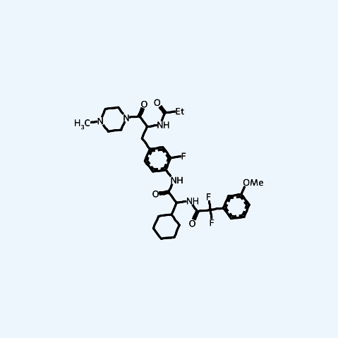 CCC(=O)NC(Cc1ccc(NC(=O)C(NC(=O)C(F)(F)c2cccc(OC)c2)C2CCCCC2)c(F)c1)C(=O)N1CCN(C)CC1